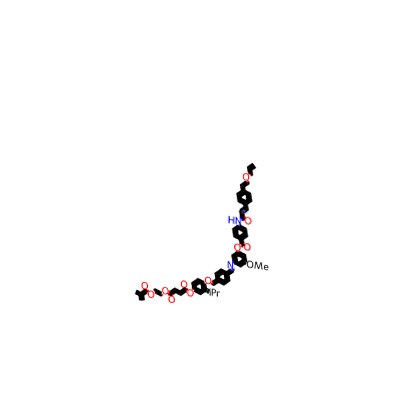 C=CCOCCc1ccc(/C=C/C(=O)Nc2ccc(C(=O)Oc3cc(/N=C/c4ccc(COc5ccc(OC(=O)CCC(=O)OCCOC(=O)C(=C)C)cc5C(C)C)cc4)cc(OC)c3)cc2)cc1